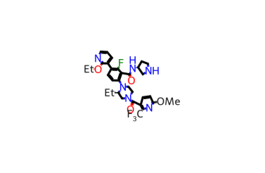 CCOc1ncccc1-c1ccc(N2CCN(C(=O)c3ccc(OC)nc3C(F)(F)F)C[C@H]2CC)c(C(=O)N[C@@H]2CCNC2)c1F